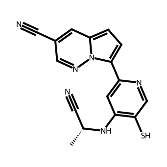 C[C@H](C#N)Nc1cc(-c2ccc3cc(C#N)cnn23)ncc1S